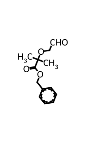 CC(C)(OCC=O)C(=O)OCc1ccccc1